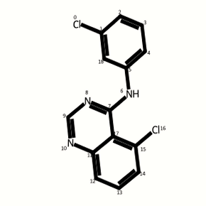 Clc1cccc(Nc2ncnc3cccc(Cl)c23)c1